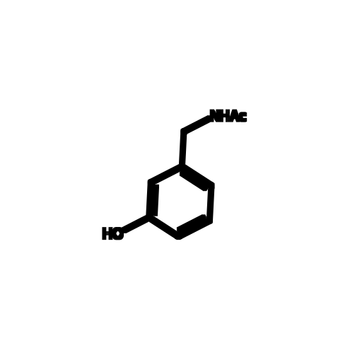 CC(=O)NCc1cccc(O)c1